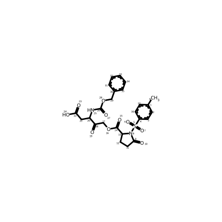 Cc1ccc(S(=O)(=O)N2C(=O)CCC2C(=O)OCC(=O)C(CC(=O)O)NC(=O)OCc2ccccc2)cc1